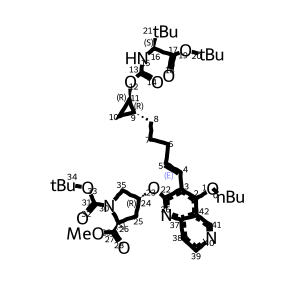 CCCCOc1c(/C=C/CCC[C@@H]2C[C@H]2OC(=O)N[C@H](C(=O)OC(C)(C)C)C(C)(C)C)c(O[C@@H]2C[C@@H](C(=O)OC)N(C(=O)OC(C)(C)C)C2)nc2ccncc12